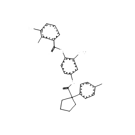 COc1cc(NC(=O)C2(c3ccc(Cl)cc3)CCCC2)ccc1NC(=O)c1cccc(Br)c1F